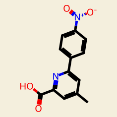 Cc1cc(C(=O)O)nc(-c2ccc([N+](=O)[O-])cc2)c1